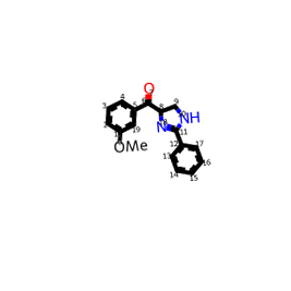 COc1cccc(C(=O)C2CNC(c3ccccc3)=N2)c1